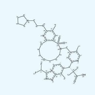 Cc1cnc([C@@H](c2ccn3c(C(F)F)nnc3c2C)C(C)(C)C(=O)O)cc1CN1CCCOCCOc2nc(OCCN3CCCC3)c(C)cc2S1(=O)=O